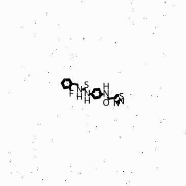 O=C(Nc1ccc(NC(=S)NCc2ccccc2F)cc1)c1csnn1